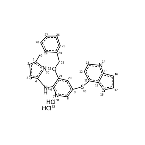 Cc1csc(Nc2ncc(Sc3ccnc4ccsc34)cc2OCc2ccccc2)n1.Cl.Cl